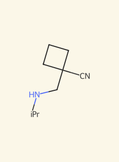 CC(C)NCC1(C#N)CCC1